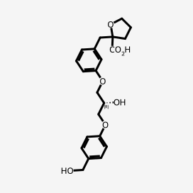 O=C(O)C1(Cc2cccc(OC[C@H](O)COc3ccc(CO)cc3)c2)CCCO1